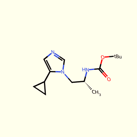 C[C@H](Cn1cncc1C1CC1)NC(=O)OC(C)(C)C